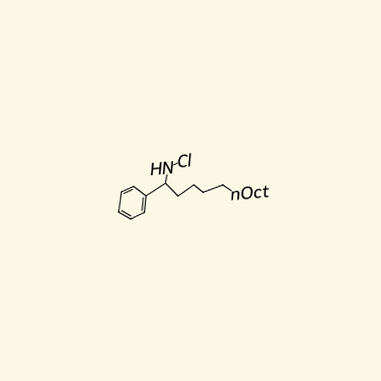 CCCCCCCCCCCCC(NCl)c1ccccc1